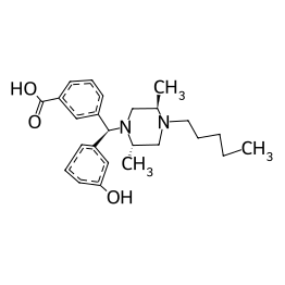 CCCCCN1C[C@H](C)N([C@@H](c2cccc(O)c2)c2cccc(C(=O)O)c2)C[C@H]1C